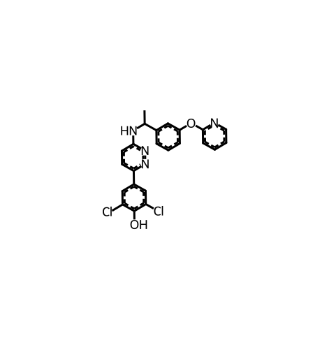 CC(Nc1ccc(-c2cc(Cl)c(O)c(Cl)c2)nn1)c1cccc(Oc2ccccn2)c1